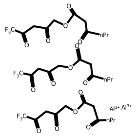 CCCC(=O)CC(=O)OCC(=O)CC(=O)C(F)(F)F.CCCC(=O)CC(=O)OCC(=O)CC(=O)C(F)(F)F.CCCC(=O)CC(=O)OCC(=O)CC(=O)C(F)(F)F.[Al+3].[Al+3]